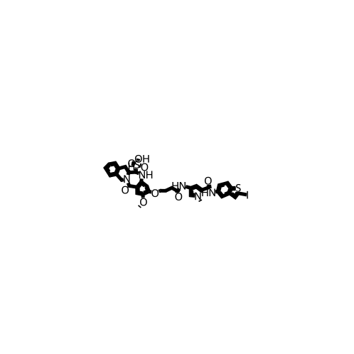 COc1cc2c(cc1OCCCC(=O)Nc1cc(C(=O)Nc3ccc4sc(I)cc4c3)n(C)c1)NC(S(=O)(=O)O)[C@@H]1Cc3ccccc3CN1C2=O